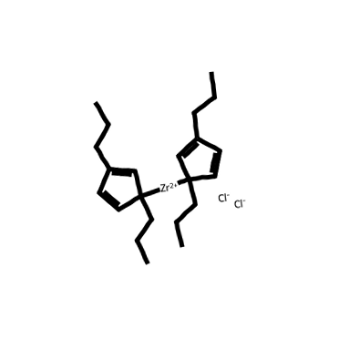 CCCC1=C[C](CCC)([Zr+2][C]2(CCC)C=CC(CCC)=C2)C=C1.[Cl-].[Cl-]